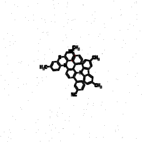 Cc1ccc2c(c1)Sc1cc(C)ccc1N2c1ccc(-c2cccc(C#N)c2)c(-n2c3ccc(C)cc3c3cc(C)ccc32)c1-c1cccc(C#N)c1